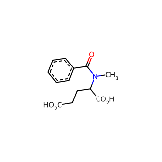 CN(C(=O)c1ccccc1)C(CCC(=O)O)C(=O)O